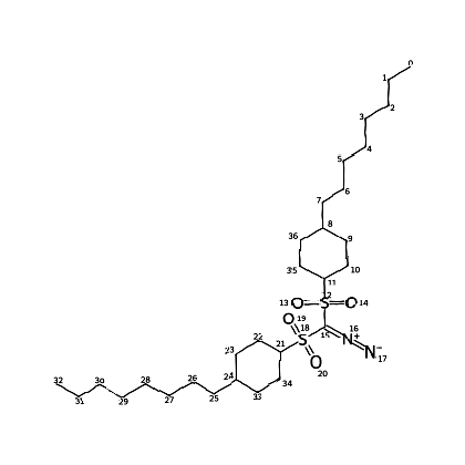 CCCCCCCCC1CCC(S(=O)(=O)C(=[N+]=[N-])S(=O)(=O)C2CCC(CCCCCCCC)CC2)CC1